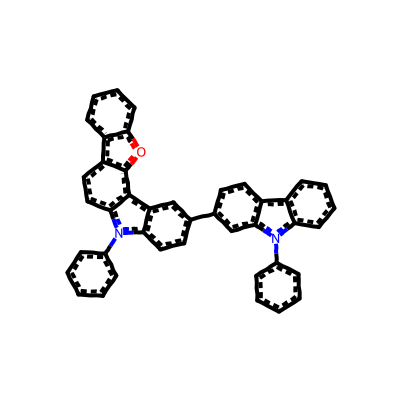 c1ccc(-n2c3ccccc3c3ccc(-c4ccc5c(c4)c4c6oc7ccccc7c6ccc4n5-c4ccccc4)cc32)cc1